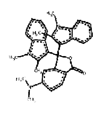 Cc1c(C2(c3c(C)n(C)c4ccccc34)OC(=O)c3ccc(N(C)C)cc32)c2ccccc2n1C